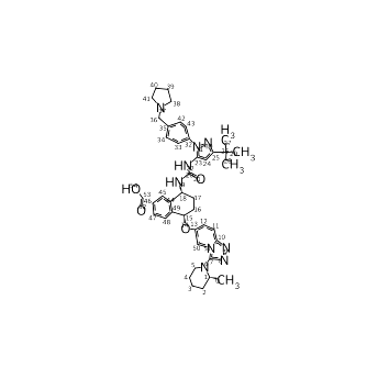 C[C@H]1CCCCN1c1nnc2ccc(O[C@@H]3CC[C@H](NC(=O)Nc4cc(C(C)(C)C)nn4-c4ccc(CN5CCCC5)cc4)c4ccccc43)cn12.O=CO